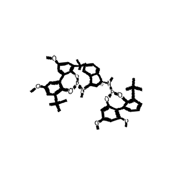 COc1cc(OC)c2c(c1)op(N(C)[C@H]1CC(N(C)p3oc4c(C(C)(C)C)cc(OC)cc4c4cc(OC)cc(C(C)(C)C)c4o3)c3ccccc31)oc1c(C(C)(C)C)cccc12